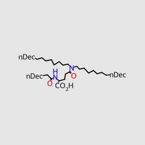 CCCCCCCCCCCCCCCCCCN(CCCCCCCCCCCCCCCCCC)C(=O)CC[C@H](NC(=O)CCCCCCCCCCC)C(=O)O